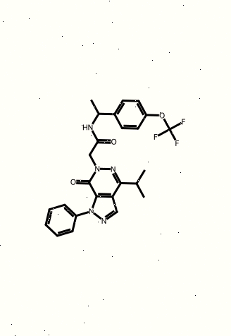 CC(C)c1nn(CC(=O)NC(C)c2ccc(OC(F)(F)F)cc2)c(=O)c2c1cnn2-c1ccccc1